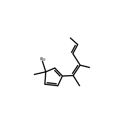 CC=CC(C)=C(C)C1=C[C](C)([Ru])C=C1